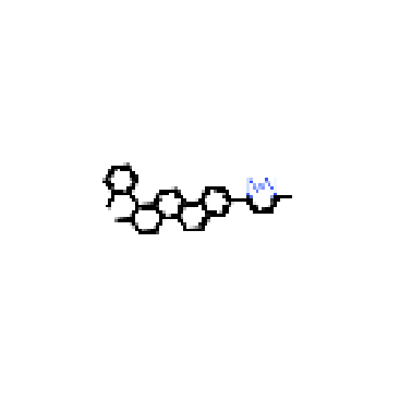 Cc1ccc(-c2ccc3c(c2)=CCc2c4c(ccc2=3)=C(c2ccccc2C)C(C)CC4)nn1